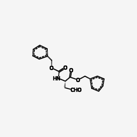 O=CC[C@H](NC(=O)OCc1ccccc1)C(=O)OCc1ccccc1